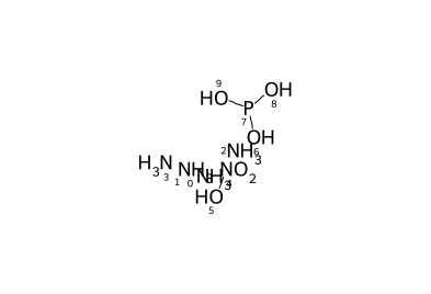 N.N.N.N.O=[N+]([O-])O.OP(O)O